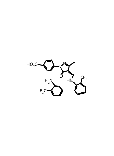 CC1=NN(c2ccc(C(=O)O)cc2)C(=O)C1=CNc1ccccc1C(F)(F)F.Nc1ccccc1C(F)(F)F